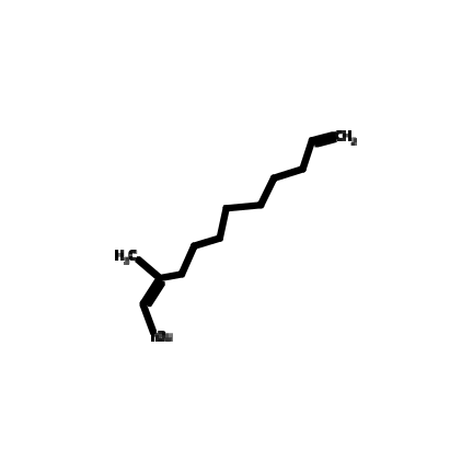 C=CCCCCCCCC(C)=CCCCC